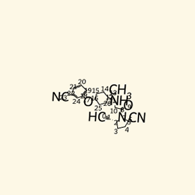 C#C[C@H]1CC[C@@H](C#N)N1C(=O)CN[C@]1(C)CC[C@@H](Oc2cccc(C#N)c2)CC1